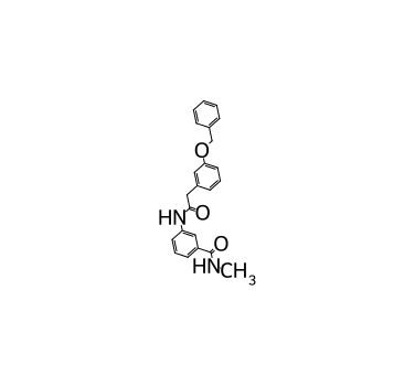 CNC(=O)c1cccc(NC(=O)Cc2cccc(OCc3ccccc3)c2)c1